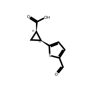 O=Cc1ccc([C@H]2C[C@H]2C(=O)O)s1